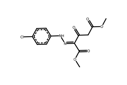 COC(=O)CC(=O)/C(=N\Nc1ccc(Cl)cc1)C(=O)OC